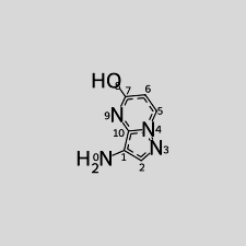 Nc1cnn2ccc(O)nc12